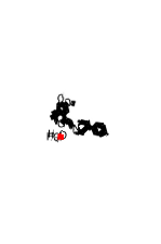 COc1cc2c(cc1OC)C(C)(C)COC2CCN1CC=C(c2ccccc2)CC1.Cl.O